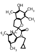 Cc1cc(C)nc(N(CC2CC2)C(=O)C2(C)CCc3c(C)c(O)c(C)c(C)c3O2)c1